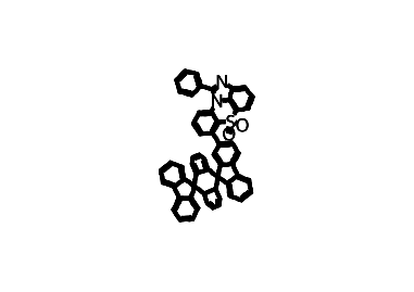 O=S1(=O)c2c(-c3ccc4c(c3)C3(c5ccccc5-4)c4ccccc4C4(c5ccccc5-c5ccccc54)C4C=CC=CC43)cccc2-n2c(-c3ccccc3)nc3cccc1c32